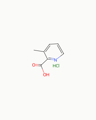 Cc1cccnc1C(=O)O.Cl